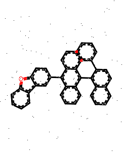 c1ccc(-c2ccc3ccccc3c2-c2c3ccccc3c(-c3ccc4oc5ccccc5c4c3)c3ccccc23)cc1